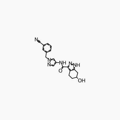 N#Cc1cccc(Cn2cc(NC(=O)c3n[nH]c4c3CCC(O)C4)cn2)c1